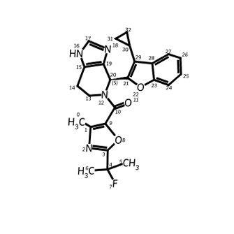 Cc1nc(C(C)(C)F)oc1C(=O)N1CCc2[nH]cnc2[C@H]1c1oc2ccccc2c1C1CC1